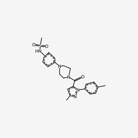 Cc1ccc(-n2nc(C)cc2C(=O)N2CCN(c3ccc(NS(C)(=O)=O)cc3)CC2)cc1